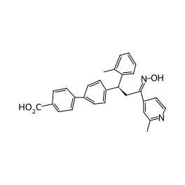 Cc1cc(/C(C[C@@H](c2ccc(-c3ccc(C(=O)O)cc3)cc2)c2ccccc2C)=N\O)ccn1